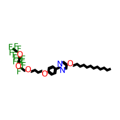 CCCCCCCCCCCCOc1cnc(-c2ccc(OCCCCOCC(F)(F)OC(F)(F)C(F)(F)OC(F)(F)C(F)(F)F)cc2)nc1